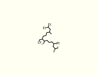 CCC(CC)CC(C)CCCC(CC(F)(F)F)C(C)CCCC(CC(F)F)C(C)C